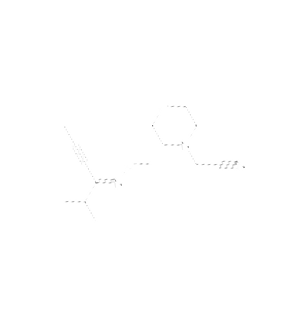 CC#C/C(=N\OC[C@@H]1COCCN1CC#N)C(C)C